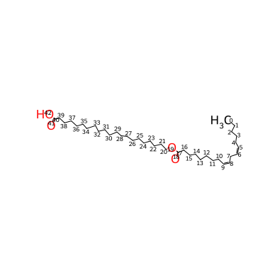 CCCCC/C=C\C/C=C\CCCCCCCC(=O)OCCCCCCCCCCCCCCCCCCCCC(=O)O